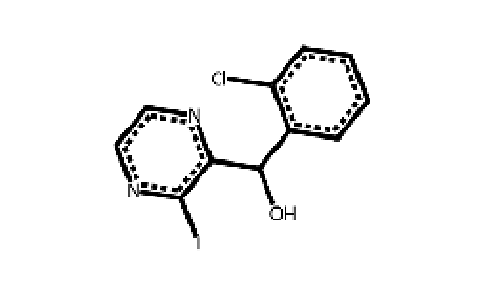 OC(c1ccccc1Cl)c1nccnc1I